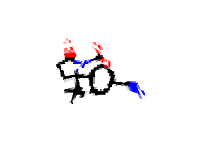 CC(C)(C)C1(c2ccc(C#N)cc2)CCC(=O)N1C(=O)O